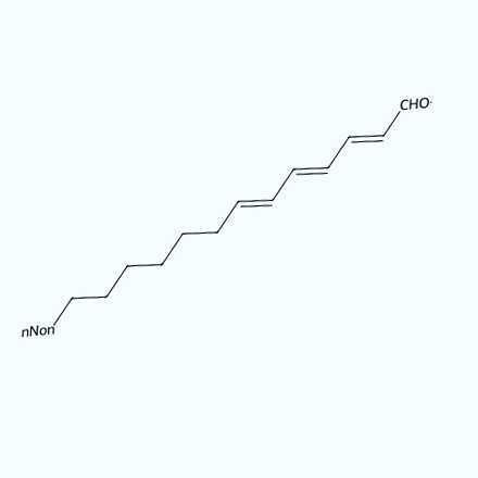 CCCCCCCCCCCCCCC/C=C/C=C/C=C/[C]=O